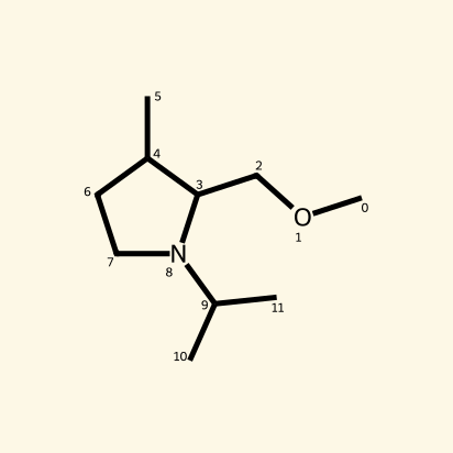 COCC1C(C)CCN1C(C)C